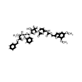 COc1cc(OC)c2oc(COC(=O)Nc3ccn([C@@H]4O[C@H](COP(N[C@@H](C)C(=O)OCc5ccccc5)Oc5ccccc5)[C@@H](O)C4(F)F)c(=O)n3)cc2c1